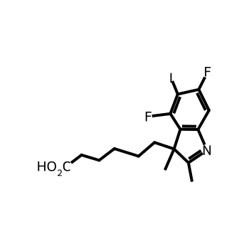 CC1=Nc2cc(F)c(I)c(F)c2C1(C)CCCCCC(=O)O